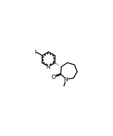 CN1CCCC[C@@H](c2ccc(I)cn2)C1=O